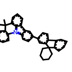 CC1(C)c2ccccc2-n2c3ccc(-c4ccc5c(c4)C4(CCCCC4)c4ccccc4-5)cc3c3cccc1c32